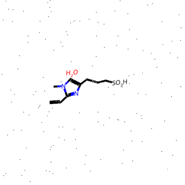 C=Cc1nc(CCCS(=O)(=O)O)cn1C.O